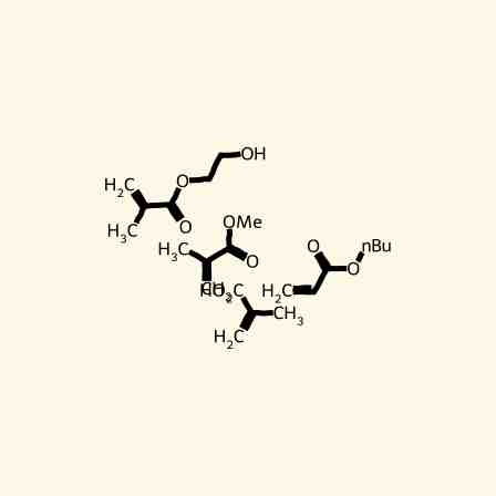 C=C(C)C(=O)O.C=C(C)C(=O)OC.C=C(C)C(=O)OCCO.C=CC(=O)OCCCC